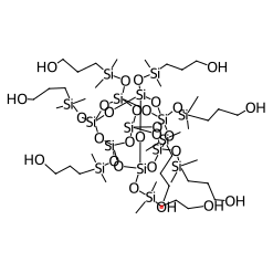 C[Si](C)(CCCO)O[Si]12O[Si]3(O[Si](C)(C)CCCO)O[Si]4(O[Si](C)(C)CCCO)O[Si](O[Si](C)(C)CCCO)(O1)O[Si]1(O[Si](C)(C)CCCO)O[Si](O[Si](C)(C)CCCO)(O2)O[Si](O[Si](C)(C)CCCO)(O3)O[Si](O[Si](C)(C)CCCO)(O4)O1